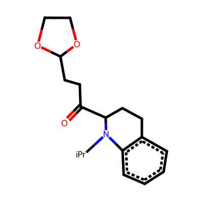 CC(C)N1c2ccccc2CCC1C(=O)CCC1OCCO1